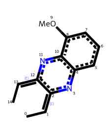 C/C=c1/nc2cccc(OC)c2n/c1=C/C